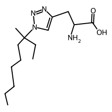 CCCCCCC(C)(CC)n1cc(CC(N)C(=O)O)nn1